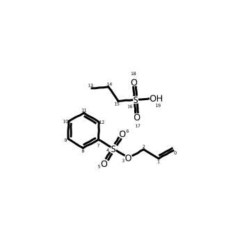 C=CCOS(=O)(=O)c1ccccc1.CCCS(=O)(=O)O